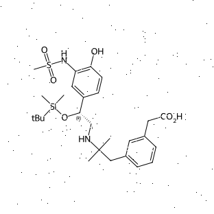 CC(C)(Cc1cccc(CC(=O)O)c1)NC[C@H](O[Si](C)(C)C(C)(C)C)c1ccc(O)c(NS(C)(=O)=O)c1